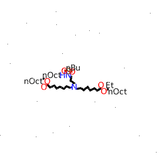 CCCCCCCCC(CC)OC(=O)CCCCCCCN(CCCCCCCC(=O)OC(CCCCCCCC)CCCCCCCC)CCCNS(=O)(=O)CCCC